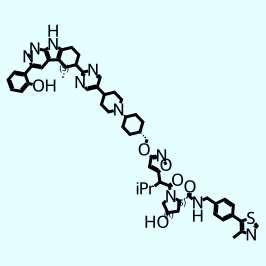 Cc1ncsc1-c1ccc(CNC(=O)[C@@H]2C[C@@H](O)CN2C(=O)C(c2cc(OC[C@H]3CC[C@@H](N4CCC(c5cnc(C6CCc7[nH]c8nnc(-c9ccccc9O)cc8c7[C@H]6C)nc5)CC4)CC3)no2)C(C)C)cc1